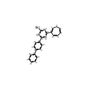 Brc1nc(C2=CCC=CC=C2)nc(-c2ccc(-c3ccccc3)cc2)n1